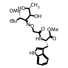 COC(=O)[C@H](Cc1c[nH]c2ccccc12)NC(=O)CO/N=C(\C(O)[C@@H](C)O)[C@@H](OC)C(C)(C)C